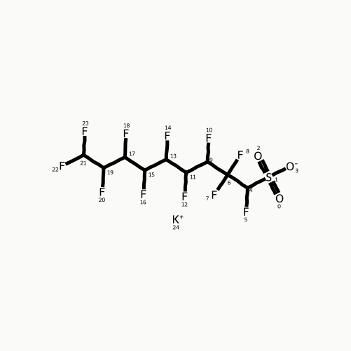 O=S(=O)([O-])C(F)C(F)(F)C(F)C(F)C(F)C(F)C(F)C(F)C(F)F.[K+]